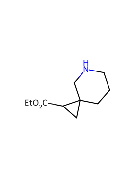 CCOC(=O)C1CC12CCCNC2